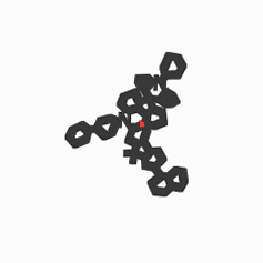 CC1(C)c2cc(-c3cccc4ccccc34)ccc2-c2ccc(N(c3ccc(-c4ccccc4)cc3)c3cccc4c3-c3ccccc3C43c4ccccc4N(c4ccccc4)c4ccccc43)cc21